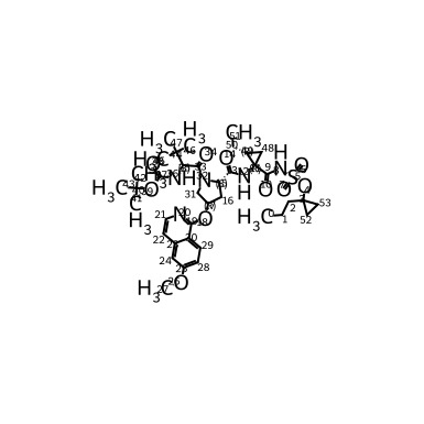 CCCC1(OS(=O)(=O)NC(=O)[C@@]2(NC(=O)[C@@H]3C[C@@H](Oc4nccc5cc(OC)ccc45)CN3C(=O)[C@@H](NC(=O)OC(C)(C)C)C(C)(C)C)C[C@H]2CC)CC1